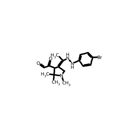 CC(NNc1ccc(Br)cc1)=C1CN(C)C(C)(C)C1C(=O)C=O